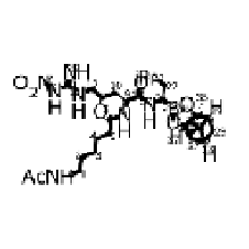 CC(=O)NCCCCCC(=O)N[C@@H](CCCNC(=N)N[N+](=O)[O-])C(=O)N[C@@H](CC(C)C)B1O[C@@H]2C[C@@H]3C[C@@H](C3(C)C)[C@]2(C)O1